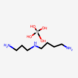 NCCCCNCCCN.[OH][Ti]([OH])([OH])[OH]